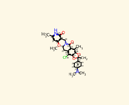 COc1cc(C)[nH]c(=O)c1CN1CCc2c(Cl)c3c(c(C)c2C1=O)OC(C)(C12CCC(N(C)C)(CC1)CC2)O3